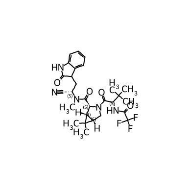 CN(C(=O)[C@@H]1[C@@H]2[C@H](CN1C(=O)[C@@H](NC(=O)C(F)(F)F)C(C)(C)C)C2(C)C)[C@H](C#N)CC1C(=O)Nc2ccccc21